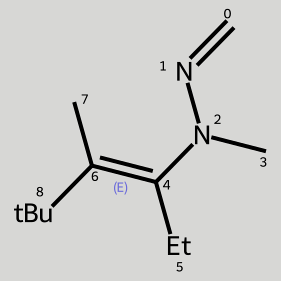 C=NN(C)/C(CC)=C(\C)C(C)(C)C